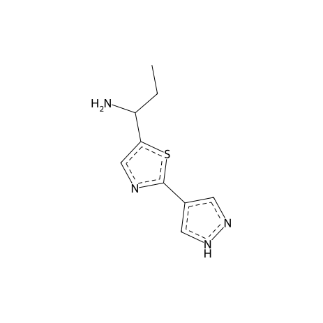 CCC(N)c1cnc(-c2cn[nH]c2)s1